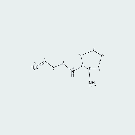 C=CCCNC1CCCCC1N